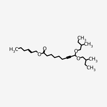 CCC/C=C/COC(=O)CCCCCC#CC(OCC(C)CC)OCC(C)CC